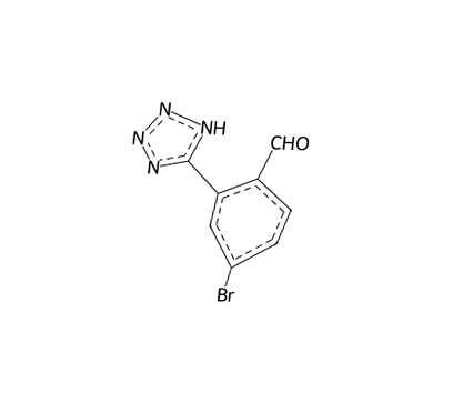 O=Cc1ccc(Br)cc1-c1nnn[nH]1